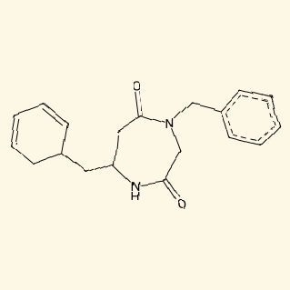 O=C1CN(Cc2ccccc2)C(=O)CC(CC2C=CC=CC2)N1